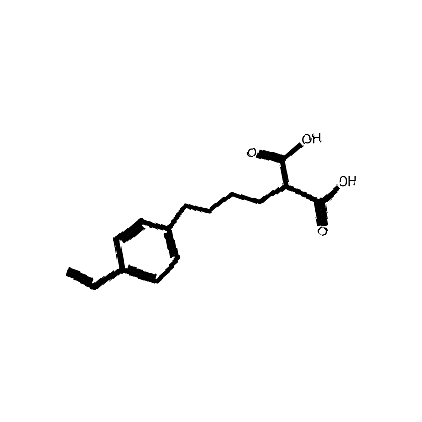 C=Cc1ccc(CCCCC(C(=O)O)C(=O)O)cc1